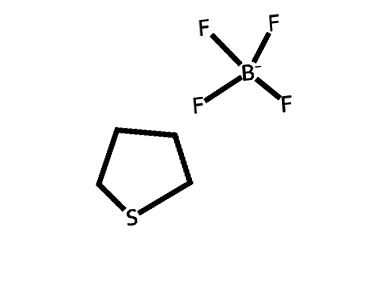 C1CCSC1.F[B-](F)(F)F